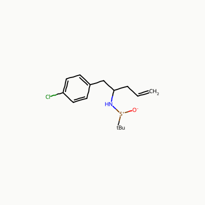 C=CCC(Cc1ccc(Cl)cc1)N[S+]([O-])C(C)(C)C